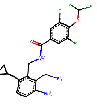 NCc1c(N)ccc(C2CC2)c1CNC(=O)c1cc(F)c(OC(F)F)c(F)c1